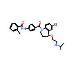 Cc1ccccc1C(=O)Nc1ccc(C(=O)N2CCCC(OCCNC(C)C)c3cc(Cl)ccc32)cc1